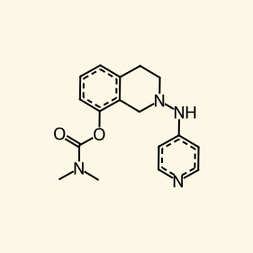 CN(C)C(=O)Oc1cccc2c1CN(Nc1ccncc1)CC2